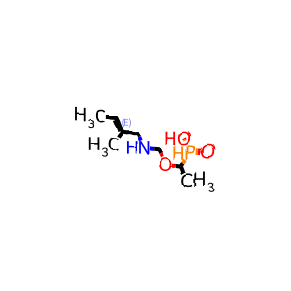 C/C=C(\C)CNCOC(C)[PH](=O)O